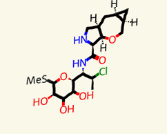 CSC1O[C@H]([C@H](NC(=O)[C@H]2NC[C@H]3C[C@H]4C[C@H]4CO[C@H]32)[C@H](C)Cl)C(O)C(O)[C@H]1O